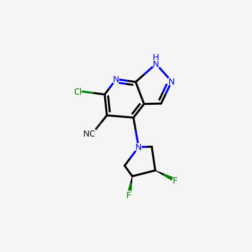 N#Cc1c(Cl)nc2[nH]ncc2c1N1C[C@@H](F)[C@@H](F)C1